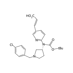 CC(C)(C)OC(=O)N(c1ccc(/C=C/C(=O)O)cn1)[C@@H]1CCN(Cc2ccc(Cl)cc2)C1